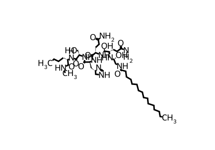 CCCCCCCCCCCCCCCC(=O)NC[C@@H](O)N[C@@H](CCC(N)=O)[C@H](O)N[C@@H](CCC(N)=O)C(=O)N[C@@H](C[C@H]1CNC=N1)C(=O)N[C@@H](CO)C(=O)N[C@@H](CCCC)C(=O)NC